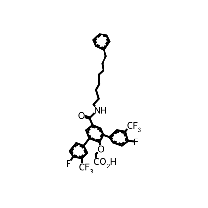 O=C(O)COc1c(-c2ccc(F)c(C(F)(F)F)c2)cc(C(=O)NCCCCCCCCc2ccccc2)cc1-c1ccc(F)c(C(F)(F)F)c1